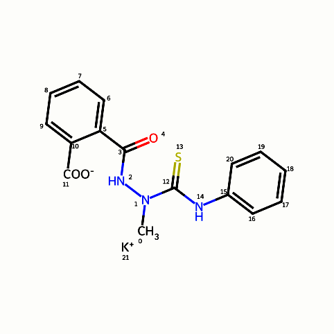 CN(NC(=O)c1ccccc1C(=O)[O-])C(=S)Nc1ccccc1.[K+]